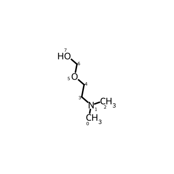 CN(C)CCOCO